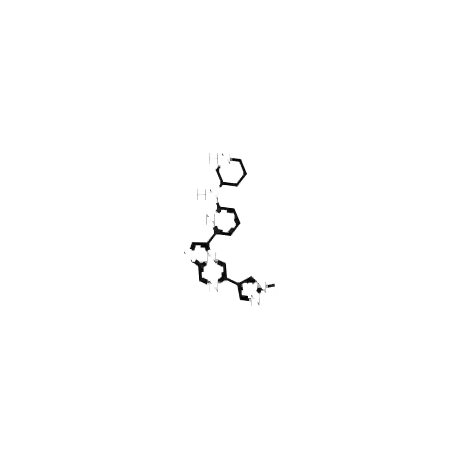 Cn1cc(-c2cn3c(-c4cccc(NC5CCCNC5)n4)cnc3cn2)cn1